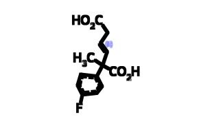 CC(/C=C/CC(=O)O)(C(=O)O)c1ccc(F)cc1